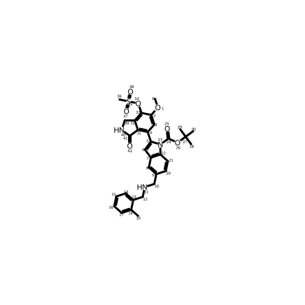 COc1cc(-c2cc3cc(CNCc4ccccc4C)ccc3n2C(=O)OC(C)(C)C)c2c(c1OS(C)(=O)=O)CNC2=O